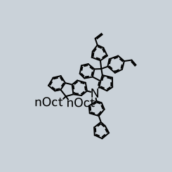 C=Cc1ccc(C2(c3ccc(C=C)cc3)c3ccccc3-c3c(N(c4ccc(-c5ccccc5)cc4)c4ccc5c(c4)C(CCCCCCCC)(CCCCCCCC)c4ccccc4-5)cccc32)cc1